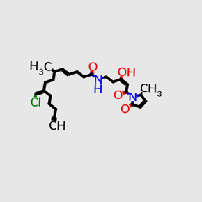 C#CCCC/C(=C\Cl)CCC(C)/C=C/CCC(=O)NCC/C(O)=C\C(=O)N1C(=O)C=C[C@@H]1C